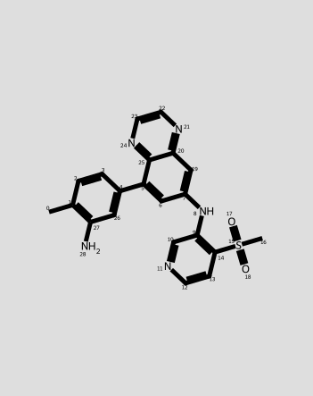 Cc1ccc(-c2cc(Nc3cnccc3S(C)(=O)=O)cc3nccnc23)cc1N